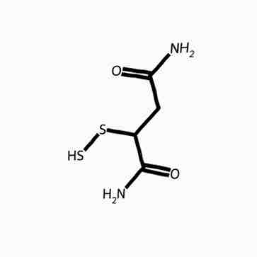 NC(=O)CC(SS)C(N)=O